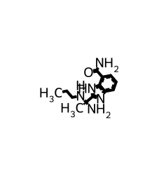 CCCN[C@@](C)(N)c1nc2cccc(C(N)=O)c2[nH]1